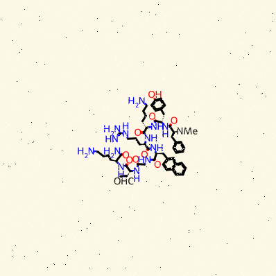 CN[C@@H](Cc1ccccc1)C(=O)N[C@@H](Cc1ccc(O)cc1)C(=O)N[C@@H](CCCCN)C(=O)N[C@H](CCCNC(=N)N)C(=O)N[C@@H](Cc1ccc2ccccc2c1)C(=O)NCC(=O)N[C@H](CCC=O)C(=O)N[C@@H](CCCCN)C(N)=O